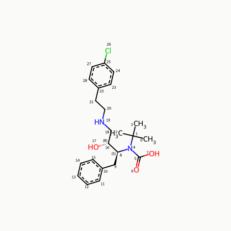 CC(C)(C)N(C(=O)O)[C@@H](Cc1ccccc1)[C@H](O)CNCCc1ccc(Cl)cc1